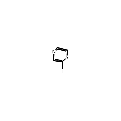 IC1=CN=C=CS1